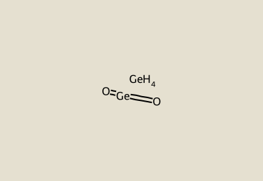 [GeH4].[O]=[Ge]=[O]